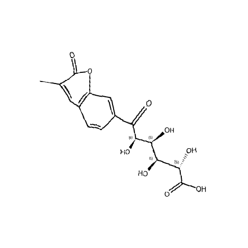 Cc1cc2ccc(C(=O)[C@H](O)[C@@H](O)[C@H](O)[C@H](O)C(=O)O)cc2oc1=O